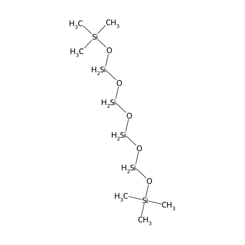 C[Si](C)(C)O[SiH2]O[SiH2]O[SiH2]O[SiH2]O[Si](C)(C)C